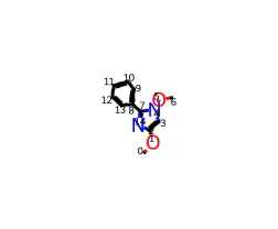 COc1cn(OC)c(-c2ccccc2)n1